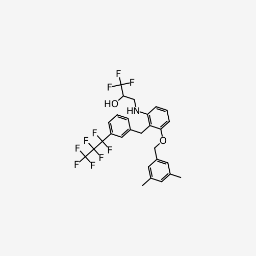 Cc1cc(C)cc(COc2cccc(NCC(O)C(F)(F)F)c2Cc2cccc(C(F)(F)C(F)(F)C(F)(F)F)c2)c1